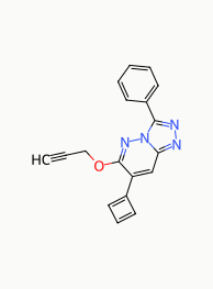 C#CCOc1nn2c(-c3ccccc3)nnc2cc1C1=CC=C1